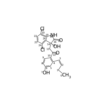 CC/C=C\c1cc(O)ccc1C(=O)CC1(O)C(=O)Nc2c(Cl)ccc(Cl)c21